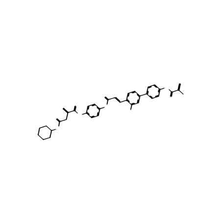 C=C(C)C(=O)Oc1ccc(-c2ccc(/C=C/C(=O)Sc3ccc(OC(=O)C(=C)CC(=O)OC4CCCCC4)cc3)c(F)c2)cc1